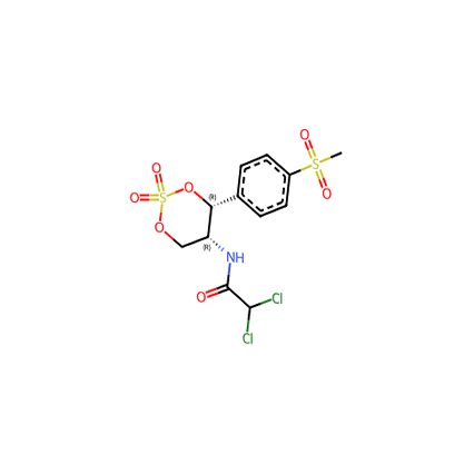 CS(=O)(=O)c1ccc([C@H]2OS(=O)(=O)OC[C@H]2NC(=O)C(Cl)Cl)cc1